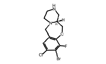 Fc1c(Br)c(Cl)cc2c1OC[C@H]1CNCCN1C2